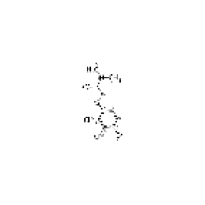 CN(C)C(=O)CSc1ccc(Br)c(Cl)c1Cl